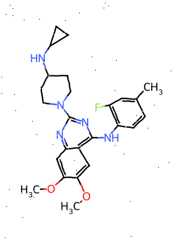 COc1cc2nc(N3CCC(NC4CC4)CC3)nc(Nc3ccc(C)cc3F)c2cc1OC